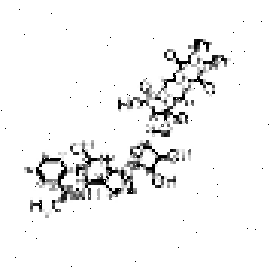 CC(C)OC(=O)OCOP(=O)(O)CP(=O)(OCOC(=O)OC(C)C)OC[C@H]1O[C@@H](n2ncc3c(N[C@@H](C)c4ccccc4)nc(Cl)nc32)[C@H](O)[C@@H]1O